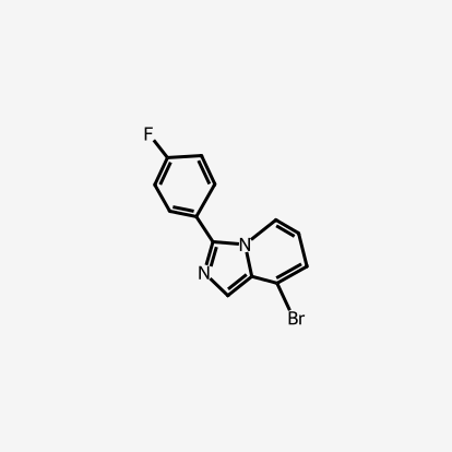 Fc1ccc(-c2ncc3c(Br)cccn23)cc1